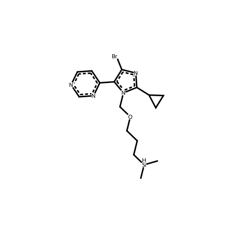 C[SiH](C)CCCOCn1c(C2CC2)nc(Br)c1-c1ccncn1